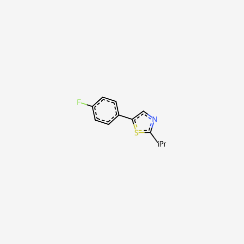 CC(C)c1ncc(-c2ccc(F)cc2)s1